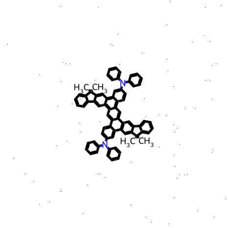 CC1(C)c2ccccc2-c2cc3c(cc21)c1cc(N(c2ccccc2)c2ccccc2)ccc1c1cc2c4cc5c(cc4c4cc(N(c6ccccc6)c6ccccc6)ccc4c2cc31)C(C)(C)c1ccccc1-5